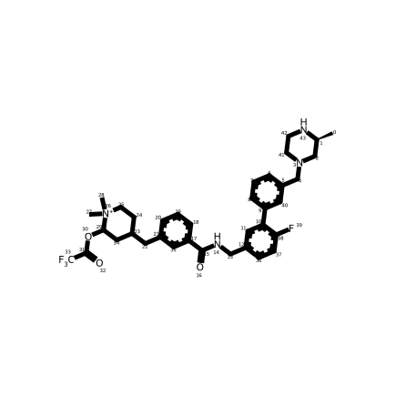 C[C@H]1CN(Cc2cccc(-c3cc(CNC(=O)c4cccc(CC5CC[N+](C)(C)C(OC(=O)C(F)(F)F)C5)c4)ccc3F)c2)CCN1